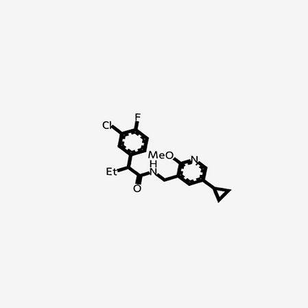 CCC(C(=O)NCc1cc(C2CC2)cnc1OC)c1ccc(F)c(Cl)c1